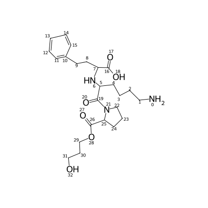 NCCCCC(NC(CCc1ccccc1)C(=O)O)C(=O)N1CCCC1C(=O)OCCCO